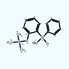 CC(C)(C)[Si]([O])(c1ccccc1)c1ccccc1O[Si](C)(C)C